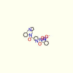 O=C(Nc1ccc(C(=O)N2Cc3cccn3Cc3ccccc32)cn1)c1ccccc1[N+](=O)[O-]